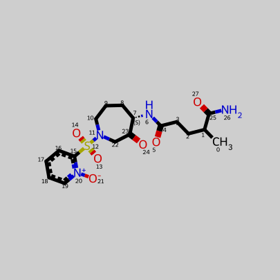 CC(C[CH]C(=O)N[C@H]1CCCN(S(=O)(=O)c2cccc[n+]2[O-])CC1=O)C(N)=O